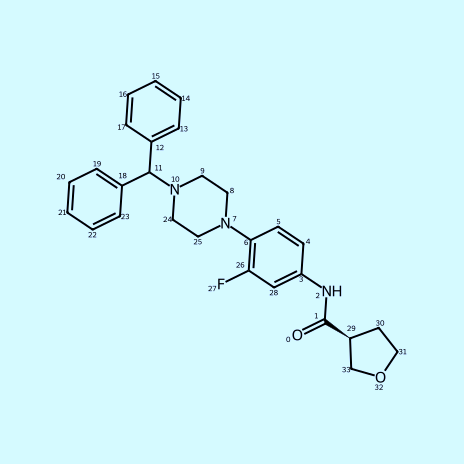 O=C(Nc1ccc(N2CCN(C(c3ccccc3)c3ccccc3)CC2)c(F)c1)[C@H]1CCOC1